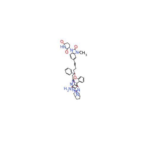 Cn1c(=O)n(C2CCC(=O)NC2=O)c2ccc(C#CCCCCC#Cc3cnc(N4C5CCC4CN(c4cc(-c6ccccc6OCc6ccccc6)nnc4N)C5)nc3)cc21